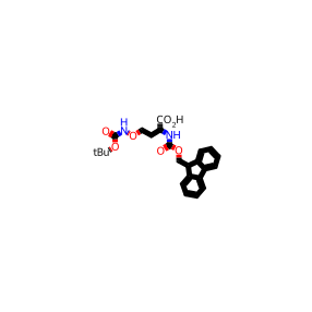 CC(C)(C)OC(=O)NOCCC(NC(=O)OCC1c2ccccc2-c2ccccc21)C(=O)O